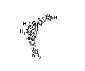 Cc1oc(-c2c(Cl)c(C(=O)Nc3ccc(CCC4COC(N)=N4)cc3)nn2C)nc1C(=O)Nc1ccc(CCC2COC(N)=N2)cc1